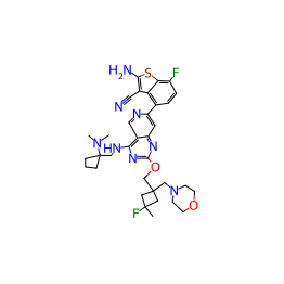 CN(C)C1(CNc2nc(OCC3(CN4CCOCC4)CC(C)(F)C3)nc3cc(-c4ccc(F)c5sc(N)c(C#N)c45)ncc23)CCC1